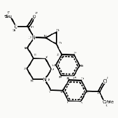 COC(=O)c1ccc(CN2CCC(CN(C(=O)OC(C)(C)C)C3CC3c3ccccc3)CC2)cc1